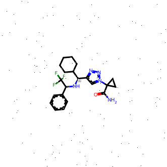 NC(=O)C1(n2cc([C@@H](NC(c3ccccc3)C(F)(F)F)C3CCCCC3)nn2)CC1